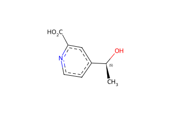 C[C@H](O)c1ccnc(C(=O)O)c1